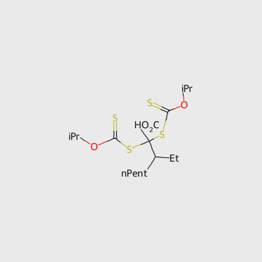 CCCCCC(CC)C(SC(=S)OC(C)C)(SC(=S)OC(C)C)C(=O)O